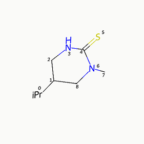 CC(C)C1CNC(=S)N(C)C1